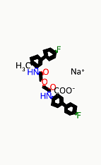 Cc1ccc(-c2ccc(F)cc2)cc1NC(=O)COCC(=O)Nc1ccc(-c2ccc(F)cc2)cc1C(=O)[O-].[Na+]